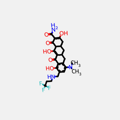 CN(C)c1cc(CNCCC(F)(F)F)c(O)c2c1CC1CC3CC(O)=C(C(N)=O)C(=O)C3C(O)=C1C2=O